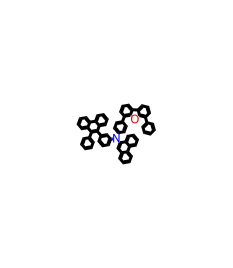 c1ccc(-c2c(-c3cccc(N(c4ccc(-c5cccc6c5oc5c(-c7ccccc7)cccc56)cc4)c4cc5ccccc5c5ccccc45)c3)c3ccccc3c3ccccc23)cc1